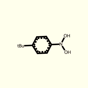 CC(C)(C)c1ccc(N(O)O)cc1